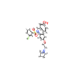 O=S(=O)(c1cccc(F)c1)N(Cc1cccc(O)c1)c1ccc(OCCN2CCCC2)cc1